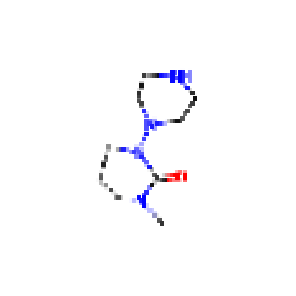 CN1CCCN(N2CCNCC2)C1=O